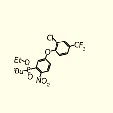 CCOP(=O)(c1cc(Oc2ccc(C(F)(F)F)cc2Cl)ccc1[N+](=O)[O-])C(C)CC